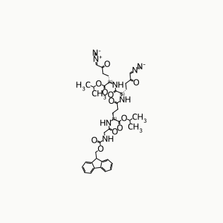 CC(C)OC(=O)[C@H](CCC(=O)N[C@@H](CCC(=O)C=[N+]=[N-])C(=O)N[C@@H](CCC(=O)C=[N+]=[N-])C(=O)OC(C)C)NC(=O)CNC(=O)OCC1c2ccccc2-c2ccccc21